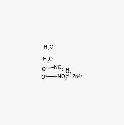 O.O.O.O=[N+]([O-])[O-].O=[N+]([O-])[O-].[Zn+2]